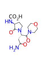 NC(=O)C[C@@H](C(=O)N1CCOCC1)N1CC[C@H](NC(=O)O)C1=O